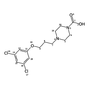 O=C(O)N1CCN(CCCOc2cc(Cl)cc(Cl)c2)CC1